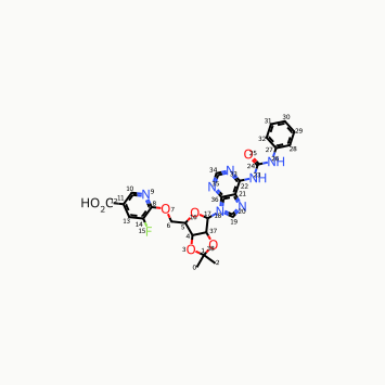 CC1(C)OC2C(COc3ncc(C(=O)O)cc3F)OC(n3cnc4c(NC(=O)Nc5ccccc5)ncnc43)C2O1